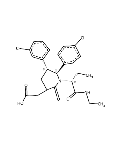 CCNC(=O)[C@@H](CC)N1C(=O)C(CC(=O)O)C[C@H](c2cccc(Cl)c2)[C@H]1c1ccc(Cl)cc1